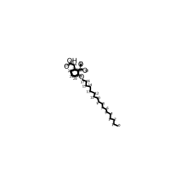 CCCCCCCCCCCCCCCCCCOc1cccc(CC(=O)O)c1I(=O)=O